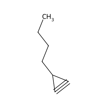 CCCCC1C#C1